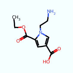 CCOC(=O)c1cc(C(=O)O)cn1CCN